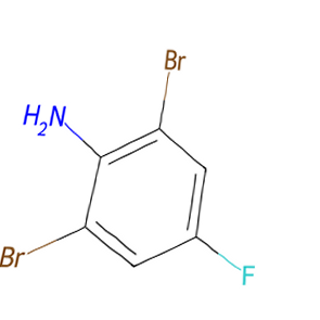 Nc1c(Br)cc(F)cc1Br